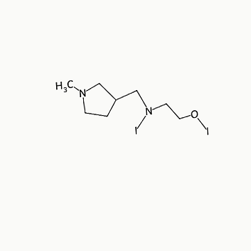 CN1CCC(CN(I)CCOI)C1